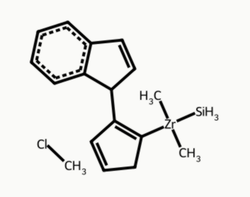 CCl.[CH3][Zr]([CH3])([SiH3])[C]1=C(C2C=Cc3ccccc32)C=CC1